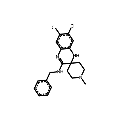 CN1CCC2(CC1)Nc1cc(Cl)c(Cl)cc1N=C2NCc1ccccc1